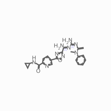 C=C(/N=C(N)\N=C(/N)c1noc(-c2ccc(C(=O)NC3CC3)nc2)n1)N(C)c1ccccc1